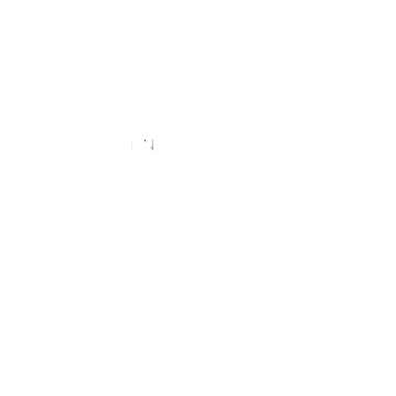 CN/C=C\CC(C)C(C)C